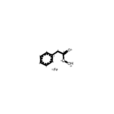 O=C(Cc1ccccc1)OO.[Fe]